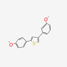 COc1ccc(-c2cc(-c3cccc(OC)c3)cs2)cc1